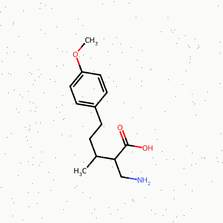 COc1ccc(CCC(C)C(CN)C(=O)O)cc1